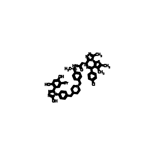 Cc1sc2c(c1C)C(c1ccc(Cl)cc1)=N[C@@H](CC(=O)N[C@@H](C)c1ccc(CN3CCC(Cc4ccc(-n5c(O)nnc5-c5cc(C(C)C)c(O)cc5O)cc4)CC3)cc1)c1nnc(C)n1-2